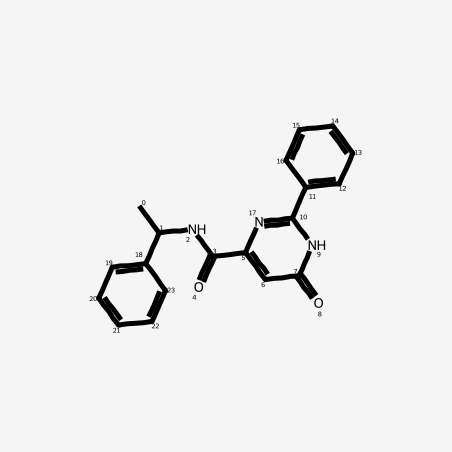 CC(NC(=O)c1cc(=O)[nH]c(-c2ccccc2)n1)c1ccccc1